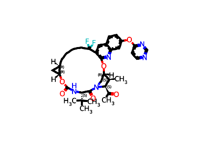 CC(=O)[C@@H]1[C@H](C)[C@@H]2CN1C(=O)[C@H](C(C)(C)C)NC(=O)O[C@@H]1C[C@H]1CCCCC(F)(F)c1cc3ccc(Oc4ccncn4)cc3nc1O2